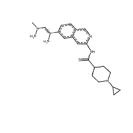 CN(N)/C=C(\N)c1ccc2cnc(NC(=O)C3CCN(C4CC4)CC3)cc2c1